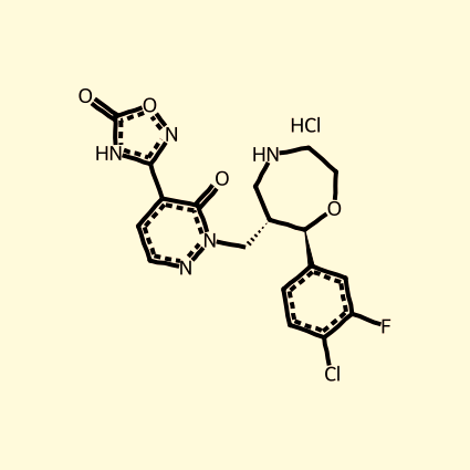 Cl.O=c1[nH]c(-c2ccnn(C[C@@H]3CNCCO[C@H]3c3ccc(Cl)c(F)c3)c2=O)no1